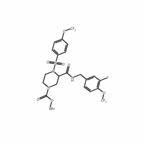 CC(C)(C)OC(=O)N1CCN(S(=O)(=O)c2ccc(OC(F)(F)F)cc2)C(C(=O)NCc2ccc(OC(F)(F)F)c(F)c2)C1